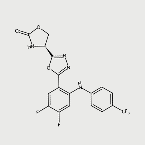 O=C1N[C@H](c2nnc(-c3cc(F)c(F)cc3Nc3ccc(C(F)(F)F)cc3)o2)CO1